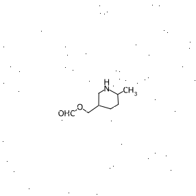 CC1CCC(COC=O)CN1